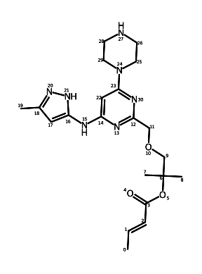 C/C=C/C(=O)OC(C)(C)COCc1nc(Nc2cc(C)n[nH]2)cc(N2CCNCC2)n1